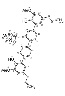 C=CCc1cc(OC)c(O)c(-c2ccc(-c3ccc(-c4cc(CC=C)cc(OC)c4O)cn3)nc2)c1.CC(=O)[O-].CC(=O)[O-].CC(=O)[O-].[Mn+3]